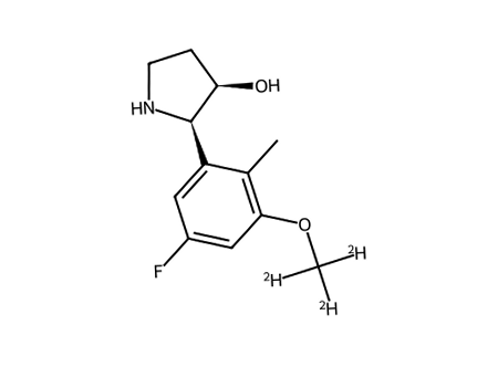 [2H]C([2H])([2H])Oc1cc(F)cc([C@H]2NCC[C@H]2O)c1C